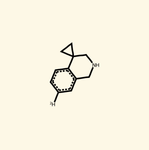 [2H]c1ccc2c(c1)CNCC21CC1